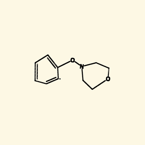 [c]1ccccc1ON1CCOCC1